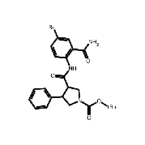 CC(C)(C)OC(=O)N1CC(C(=O)Nc2ccc(Br)cc2C(N)=O)C(c2ccccc2)C1